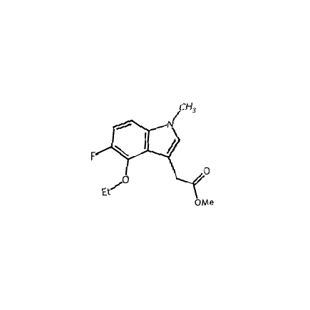 CCOc1c(F)ccc2c1c(CC(=O)OC)cn2C